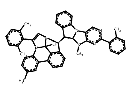 Cc1ccc2c(c1)-c1cccc3c1C1(C)N2C(c2c(C)cccc2C)=CN1[C@H]3C1c2ccccc2N2c3cnc(-c4ccccc4C)nc3N(C)C12